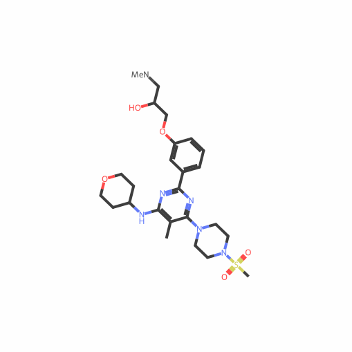 CNCC(O)COc1cccc(-c2nc(NC3CCOCC3)c(C)c(N3CCN(S(C)(=O)=O)CC3)n2)c1